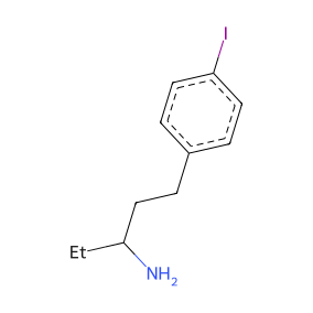 CCC(N)CCc1ccc(I)cc1